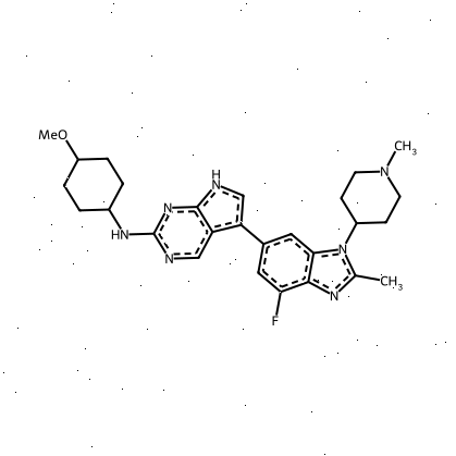 COC1CCC(Nc2ncc3c(-c4cc(F)c5nc(C)n(C6CCN(C)CC6)c5c4)c[nH]c3n2)CC1